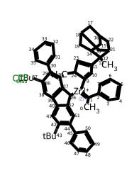 C/[C](c1ccccc1)=[Zr+2](/[C]1=CC(C2(C)C3CC4CC(C3)CC2C4)=CC1C)[CH]1c2cc(-c3ccccc3)c(C(C)(C)C)cc2-c2cc(C(C)(C)C)c(-c3ccccc3)cc21.[Cl-].[Cl-]